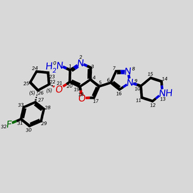 Nc1ncc2c(-c3cnn(C4CCNCC4)c3)coc2c1O[C@H]1CCC[C@H]1c1cccc(F)c1